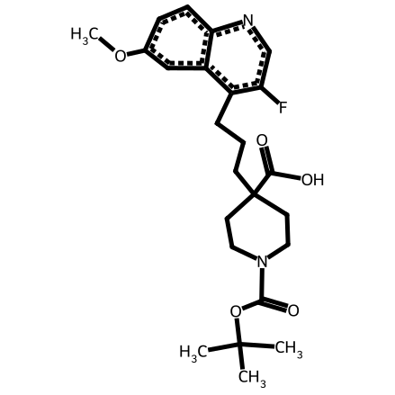 COc1ccc2ncc(F)c(CCCC3(C(=O)O)CCN(C(=O)OC(C)(C)C)CC3)c2c1